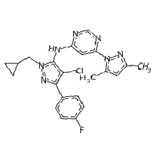 Cc1cc(C)n(-c2cc(Nc3c(Cl)c(-c4ccc(F)cc4)nn3CC3CC3)ncn2)n1